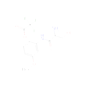 CCCCCCOc1cccc(NC(=O)C(N)CO)c1.O=C(O)C(F)(F)F